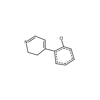 Clc1ccccc1C1=CC=NCC1